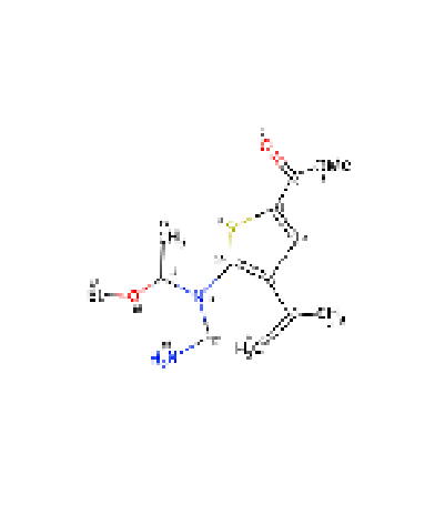 C=C(C)c1cc(C(=O)OC)sc1N(CN)C(C)OCC